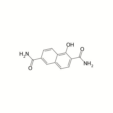 NC(=O)c1ccc2c(O)c(C(N)=O)ccc2c1